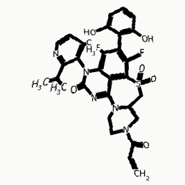 C=CC(=O)N1CCN2c3nc(=O)n(-c4c(C)ccnc4C(C)C)c4c(F)c(-c5c(O)cccc5O)c(F)c(c34)S(=O)(=O)CC2C1